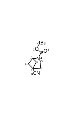 CC(C)(C)OC(=O)N1CCC2(C#N)CC1C2